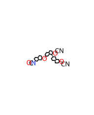 N#COc1ccc2ccc(-c3c(OC#N)ccc4ccc(Oc5ccc6ccc(N=C=O)cc6c5)cc34)cc2c1